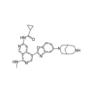 CNc1ncc(-c2nc3cc(N4CC5CNCC(C5)C4)ccc3o2)c2cc(NC(=O)C3CC3)ncc12